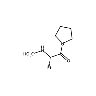 CC[C@H](NC(=O)O)C(=O)N1CCCC1